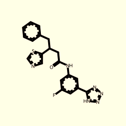 O=C(CC(Cc1ccccc1)c1cncs1)Nc1cc(F)cc(-c2nnn[nH]2)c1